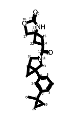 CC1(c2cccc(C34CC3CN(C(=O)C3CC5(COC(=O)N5)C3)C4)c2)CC1